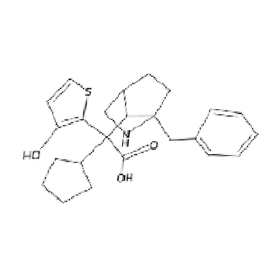 O=C(O)C(c1sccc1O)(C1CCCC1)C1C2CCC1(Cc1ccccc1)NC2